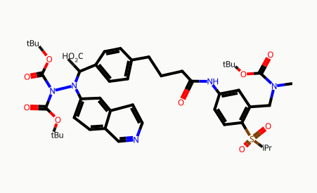 CC(C)S(=O)(=O)c1ccc(NC(=O)CCCc2ccc(C(C(=O)O)N(c3ccc4cnccc4c3)N(C(=O)OC(C)(C)C)C(=O)OC(C)(C)C)cc2)cc1CN(C)C(=O)OC(C)(C)C